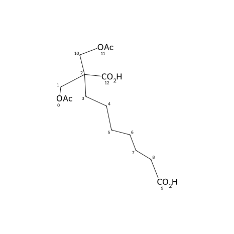 CC(=O)OCC(CCCCCCC(=O)O)(COC(C)=O)C(=O)O